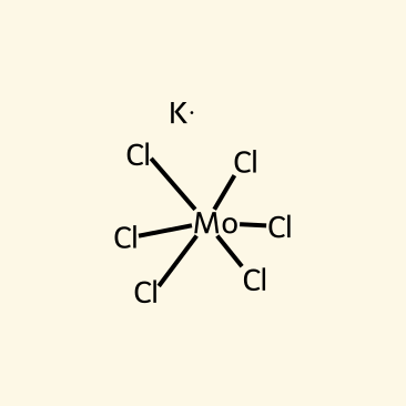 [Cl][Mo]([Cl])([Cl])([Cl])([Cl])[Cl].[K]